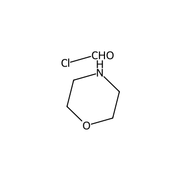 C1COCCN1.O=CCl